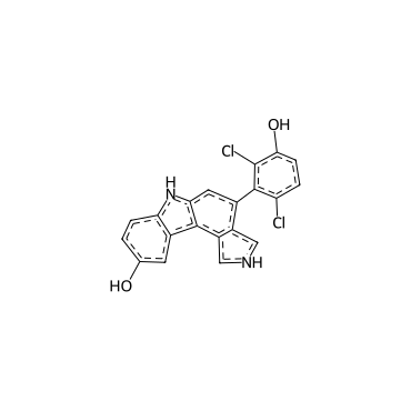 Oc1ccc2[nH]c3cc(-c4c(Cl)ccc(O)c4Cl)c4c[nH]cc4c3c2c1